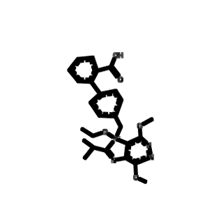 CCO[N+]1(Cc2ccc(-c3ccccc3C(=O)O)cc2)C(C(C)C)=Nc2c(OC)nnc(OC)c21